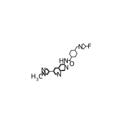 Cn1cc(-c2cnc3cnc(NC(=O)C4CCC(CN5CC(F)C5)CC4)cc3c2)cn1